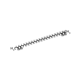 CCC(Br)CC(Br)CCCCCCCCCCCCCCCCCCCCCCCCCCCCCCCC(Br)CC(C)Br